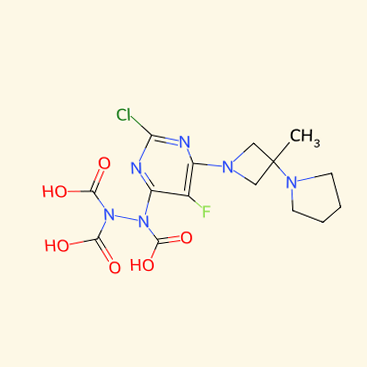 CC1(N2CCCC2)CN(c2nc(Cl)nc(N(C(=O)O)N(C(=O)O)C(=O)O)c2F)C1